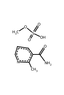 COS(=O)(=O)O.Cc1ncccc1C(N)=O